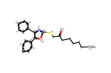 COCCCCCC(=O)CSc1nc(-c2ccccc2)c(-c2ccccc2)o1